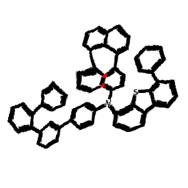 c1ccc(-c2ccccc2-c2cccc(-c3ccc(N(c4ccc(-c5cccc6cccc(-c7ccccc7)c56)cc4)c4cccc5c4sc4c(-c6ccccc6)cccc45)cc3)c2)cc1